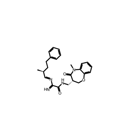 C[C@H](/C=N/C(=N)C(=O)NC[C@H]1COc2ccccc2N(C)C1=O)CCc1ccccc1